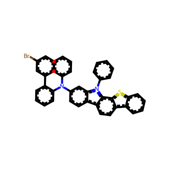 Brc1cccc(-c2ccccc2N(c2ccccc2)c2ccc3c4ccc5c6ccccc6sc5c4n(-c4ccccc4)c3c2)c1